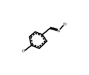 CCN=Cc1ccc(Cl)cc1